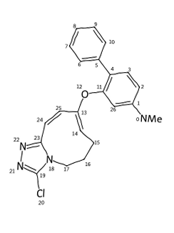 CNc1ccc(-c2ccccc2)c(OC2=C\CCCn3c(Cl)nnc3/C=C\2)c1